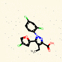 CCc1c(C(=O)O)nn(-c2ccc(Cl)cc2Cl)c1-c1cc(Cl)co1